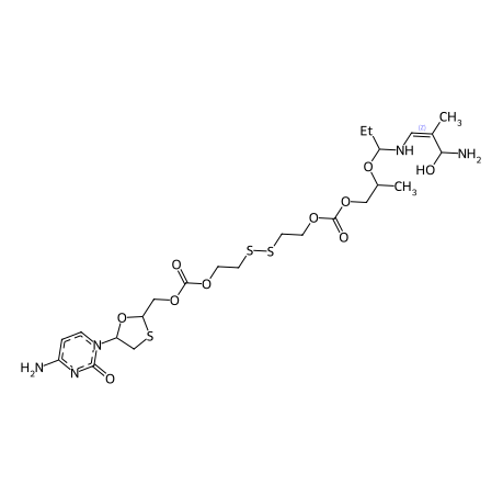 CCC(N/C=C(/C)C(N)O)OC(C)COC(=O)OCCSSCCOC(=O)OCC1OC(n2ccc(N)nc2=O)CS1